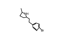 CC1CCC(CCc2ccc(Br)cc2)N1